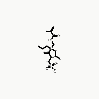 C=C(C)C(=O)OC[N+](CCC)(CCC)C(C)CCS(=O)(=O)[O-]